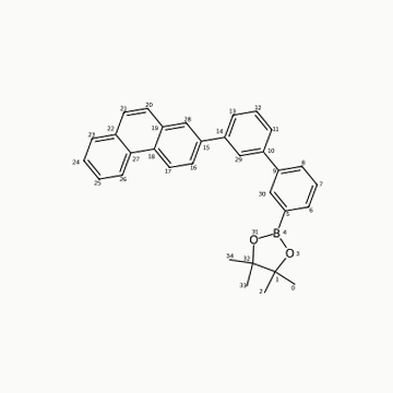 CC1(C)OB(c2cccc(-c3cccc(-c4ccc5c(ccc6ccccc65)c4)c3)c2)OC1(C)C